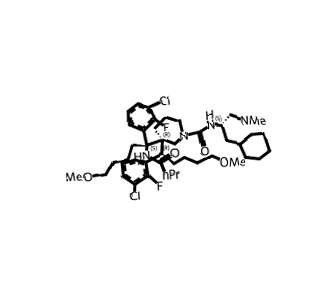 CCCC(=O)N[C@](CCCCOC)(c1cccc(Cl)c1F)[C@@]1([C@@H](CCCCOC)c2cccc(Cl)c2F)CCCN(C(=O)N[C@H](CNC)CC2CCCCC2)C1